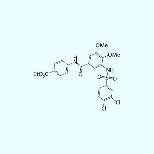 CCOC(=O)c1ccc(NC(=O)c2cc(NS(=O)(=O)c3ccc(Cl)c(Cl)c3)c(OC)c(OC)c2)cc1